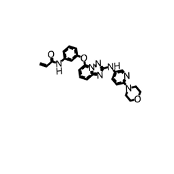 C=CC(=O)Nc1cccc(Oc2cccc3nc(Nc4ccc(N5CCOCC5)nc4)nn23)c1